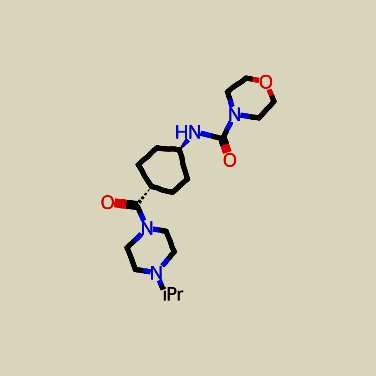 CC(C)N1CCN(C(=O)[C@H]2CC[C@H](NC(=O)N3CCOCC3)CC2)CC1